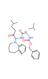 CC(C)CCC(=O)C(NC(=O)[C@H](CC(C)C)NC(=O)OCc1ccccc1)N1CCCCc2ccccc21